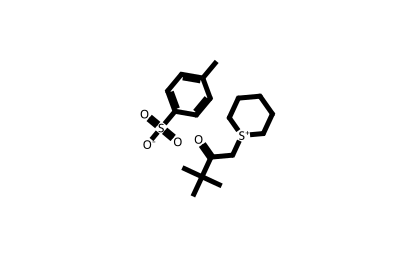 CC(C)(C)C(=O)C[S+]1CCCCC1.Cc1ccc(S(=O)(=O)[O-])cc1